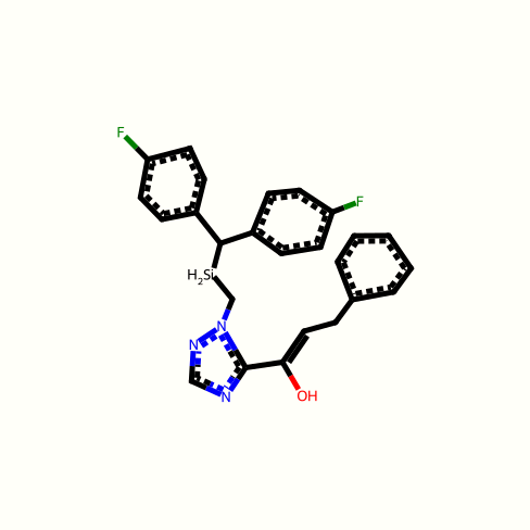 OC(=CCc1ccccc1)c1ncnn1C[SiH2]C(c1ccc(F)cc1)c1ccc(F)cc1